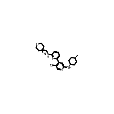 C[C@H]1CC[C@H](Nc2cc(-c3cccc(NCC4(C#N)CCOCC4)n3)c(Cl)cn2)CC1